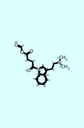 CN(C)CCc1cn(C(=O)CCC(=O)OC=O)c2ccccc12